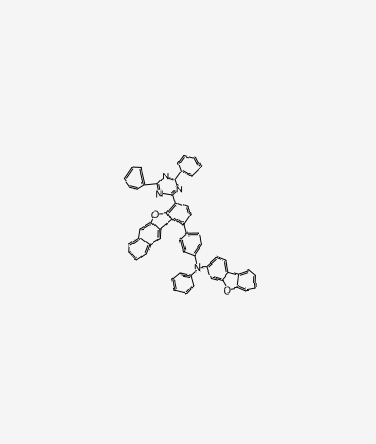 c1ccc(-c2nc(-c3ccccc3)nc(-c3ccc(-c4ccc(N(c5ccccc5)c5ccc6c(c5)oc5ccccc56)cc4)c4c3oc3cc5ccccc5cc34)n2)cc1